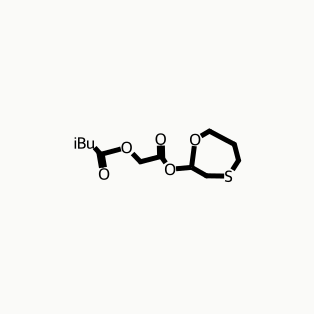 CCC(C)C(=O)OCC(=O)OC1CSCCCO1